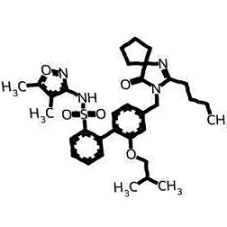 CCCCC1=NC2(CCCC2)C(=O)N1Cc1ccc(-c2ccccc2S(=O)(=O)Nc2noc(C)c2C)c(OCC(C)C)c1